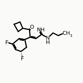 CCCNC(=N)/C=C(\C(=O)C1CCC1)C1=CC(F)=C[C@@H](F)C1